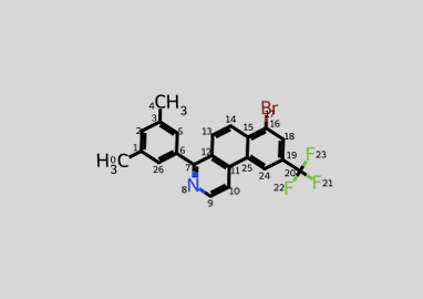 Cc1cc(C)cc(-c2nccc3c2ccc2c(Br)cc(C(F)(F)F)cc23)c1